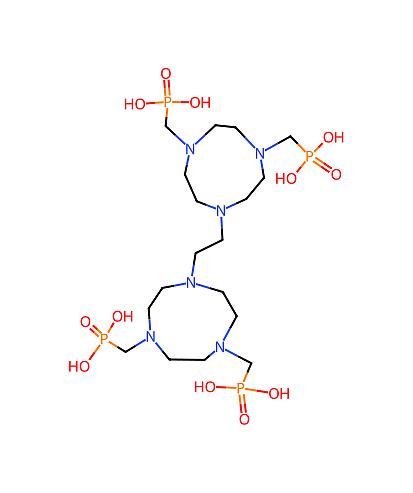 O=P(O)(O)CN1CCN(CCN2CCN(CP(=O)(O)O)CCN(CP(=O)(O)O)CC2)CCN(CP(=O)(O)O)CC1